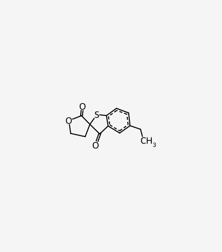 CCc1ccc2c(c1)C(=O)C1(CCOC1=O)S2